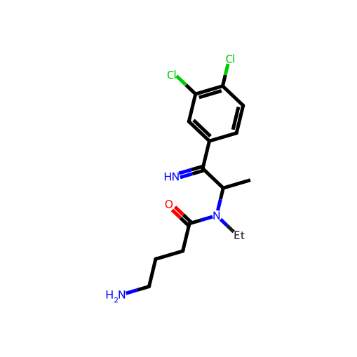 CCN(C(=O)CCCN)C(C)C(=N)c1ccc(Cl)c(Cl)c1